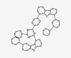 c1ccc(-c2cccc(-c3cccc4c3sc3c(-c5ccc(-c6nc(-c7ccccc7)nc(-c7cccc8oc9ccc(-c%10ccccc%10)cc9c78)n6)cc5)cccc34)c2)cc1